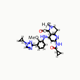 COc1c(Nc2cc(NC(=O)C3CC3)nc3c2C(=C=O)N(C)CC3)cccc1-c1ncn(C2CC2)n1